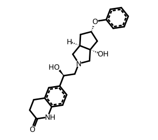 O=C1CCc2cc([C@@H](O)CN3C[C@H]4C[C@H](Oc5ccccc5)C[C@@]4(O)C3)ccc2N1